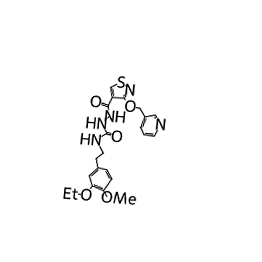 CCOc1cc(CCNC(=O)NNC(=O)c2csnc2OCc2cccnc2)ccc1OC